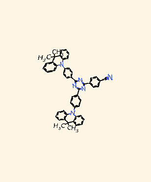 CC1(C)c2ccccc2N(c2ccc(-c3nc(-c4ccc(C#N)cc4)nc(-c4ccc(N5c6ccccc6C(C)(C)c6ccccc65)cc4)n3)cc2)c2ccccc21